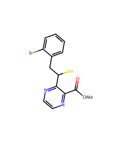 COC(=O)c1nccnc1C(S)Cc1ccccc1Br